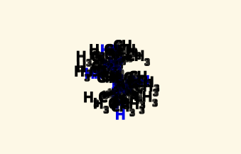 CCCCN(c1nc(N2CCN(c3nc(N(CCCC)C4CC(C)(C)NC(C)(C)C4)nc(N(CCCC)C4CC(C)(C)NC(C)(C)C4)n3)CC2)nc(N(CCCC)C2CC(C)(C)NC(C)(C)C2)n1)C1CC(C)(C)NC(C)(C)C1